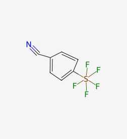 N#Cc1ccc(S(F)(F)(F)(F)F)cc1